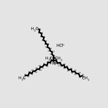 CCCCCCCCCCCCCCCCC(C)(C)C(N)(CCCCCCCCCCCCCCCC)CCCCCCCCCCCCCCCC.Cl